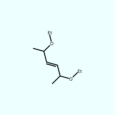 CCOC(C)C=CC(C)OCC